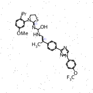 COc1ccc(C(C)C)c(N2CCS/C2=N\C(O)N/C=C(\C)c2ccc(-c3ncn(-c4ccc(OC(F)(F)F)cc4)n3)cc2)c1